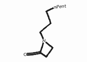 CCCCCCCCN1CCC1=O